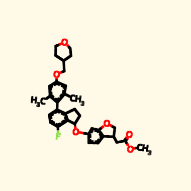 COC(=O)CC1COc2cc(O[C@@H]3CCc4c(-c5c(C)cc(OCC6CCOCC6)cc5C)ccc(F)c43)ccc21